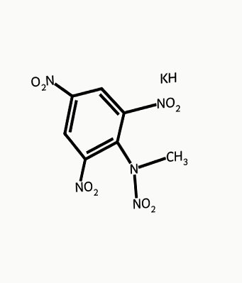 CN(c1c([N+](=O)[O-])cc([N+](=O)[O-])cc1[N+](=O)[O-])[N+](=O)[O-].[KH]